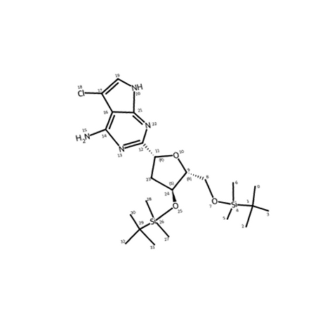 CC(C)(C)[Si](C)(C)OC[C@H]1O[C@@H](c2nc(N)c3c(Cl)c[nH]c3n2)C[C@@H]1O[Si](C)(C)C(C)(C)C